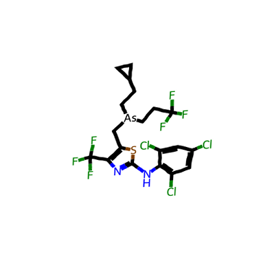 FC(F)(F)CC[As](CCC1CC1)Cc1sc(Nc2c(Cl)cc(Cl)cc2Cl)nc1C(F)(F)F